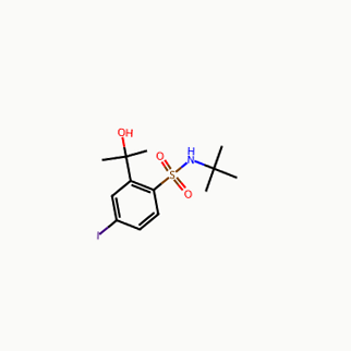 CC(C)(C)NS(=O)(=O)c1ccc(I)cc1C(C)(C)O